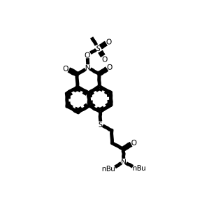 CCCCN(CCCC)C(=O)CCSc1ccc2c3c(cccc13)C(=O)N(OS(C)(=O)=O)C2=O